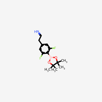 CC1(C)OB(c2c(F)cc(CC=N)cc2F)OC1(C)C